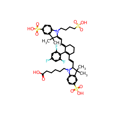 CC1(C)/C(=C\C=C2/CCCC(/C=C/C3N(CCCCCC(=O)O)c4ccc(S(=O)(=O)O)cc4C3(C)C)=C2c2c(F)cc(F)cc2F)N(CCCCS(=O)(=O)O)c2ccc(S(=O)(=O)O)cc21